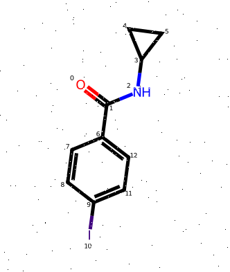 O=C(NC1CC1)c1ccc(I)cc1